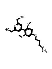 BNCCCOc1cc(OC)c(-c2cc(CO)nc(CO)c2)c(OC)c1